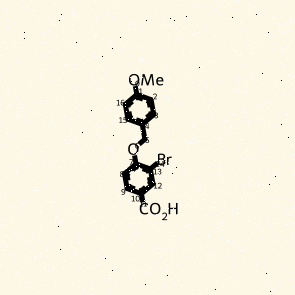 COc1ccc(COc2ccc(C(=O)O)cc2Br)cc1